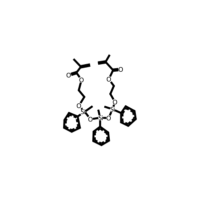 C=C(C)C(=O)OCCO[Si](C)(O[Si](C)(O[Si](C)(OCCOC(=O)C(=C)C)c1ccccc1)c1ccccc1)c1ccccc1